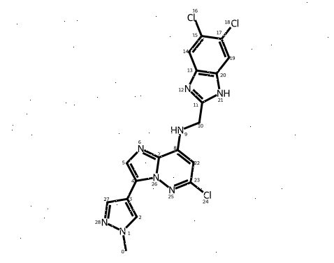 Cn1cc(-c2cnc3c(NCc4nc5cc(Cl)c(Cl)cc5[nH]4)cc(Cl)nn23)cn1